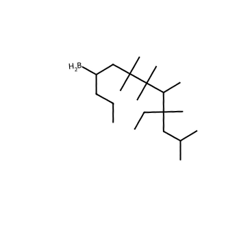 BC(CCC)CC(C)(C)C(C)(C)C(C)C(C)(CC)CC(C)C